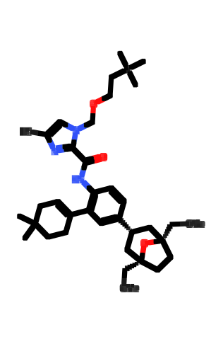 COC[C@@]12CC[C@@](COC)(C[C@H](c3ccc(NC(=O)c4nc(C#N)cn4COCC[Si](C)(C)C)c(C4=CCC(C)(C)CC4)c3)C1)O2